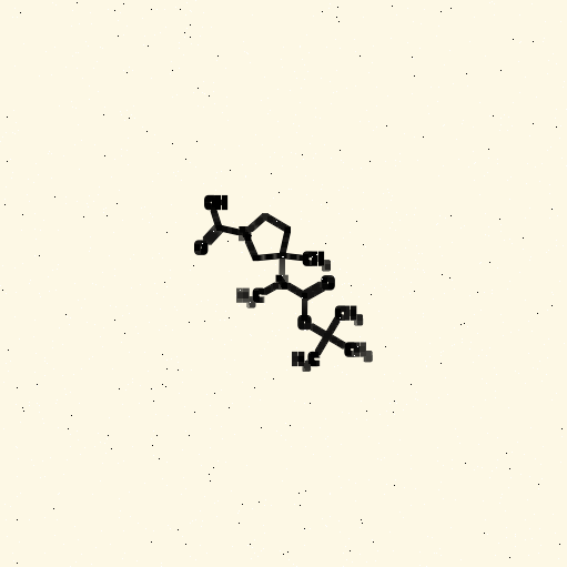 CN(C(=O)OC(C)(C)C)C1(C)CCN(C(=O)O)C1